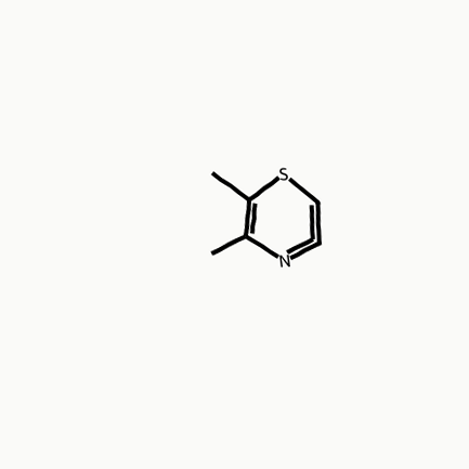 CC1=C(C)SC=C=N1